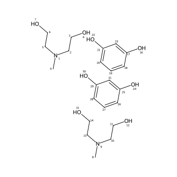 CN(CCO)CCO.CN(CCO)CCO.Oc1cccc(O)c1.Oc1cccc(O)c1